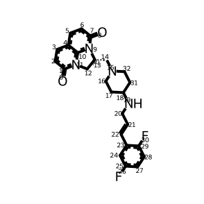 O=c1ccc2ccc(=O)n3c2n1C[C@H]3CN1CCC(NCC=Cc2cc(F)ccc2F)CC1